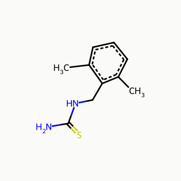 Cc1cccc(C)c1CNC(N)=S